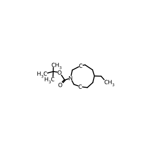 CCC1CCCCN(C(=O)OC(C)(C)C)CCCC1